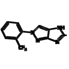 FC(F)(F)c1ccccc1-n1cc2[nH][c]nc2n1